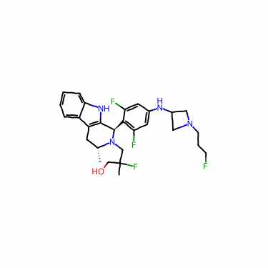 C[C@@H]1Cc2c([nH]c3ccccc23)[C@@H](c2c(F)cc(NC3CN(CCCF)C3)cc2F)N1CC(C)(F)CO